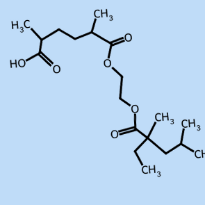 CCC(C)(CC(C)C)C(=O)OCCOC(=O)C(C)CCC(C)C(=O)O